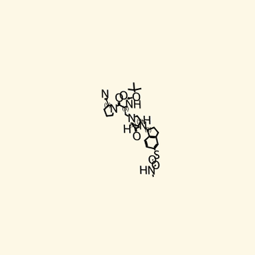 CNOOSc1ccc2c(c1)CC[C@H]2N1C(=O)[C@@H]2C[C@H]1CN2C[C@H](NC(=O)OC(C)(C)C)C(=O)N1CCC[C@H]1C#N